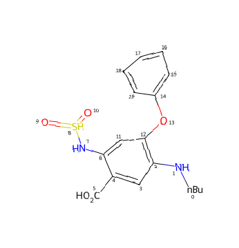 CCCCNc1cc(C(=O)O)c(N[SH](=O)=O)cc1Oc1ccccc1